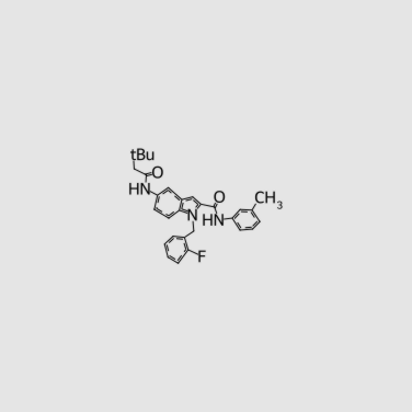 Cc1cccc(NC(=O)c2cc3cc(NC(=O)CC(C)(C)C)ccc3n2Cc2ccccc2F)c1